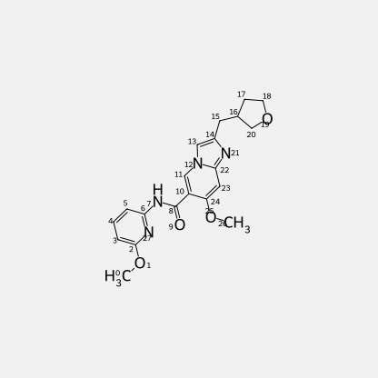 COc1cccc(NC(=O)c2cn3cc(CC4CCOC4)nc3cc2OC)n1